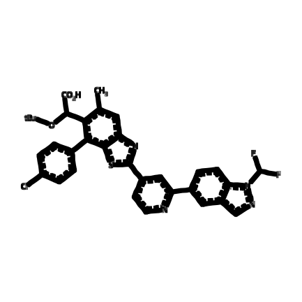 Cc1cc2nc(-c3ccnc(-c4ccc5c(cnn5C(F)F)c4)c3)sc2c(-c2ccc(Cl)cc2)c1C(OC(C)(C)C)C(=O)O